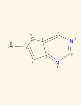 CC(C)c1cc2ncncc2s1